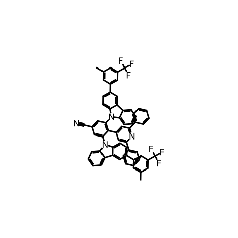 Cc1cc(-c2ccc3c(c2)c2ccccc2n3-c2cc(C#N)cc(-n3c4ccccc4c4cc(-c5cc(C)cc(C(F)(F)F)c5)ccc43)c2-c2cc(-c3ccccc3)nc(-c3ccccc3)c2)cc(C(F)(F)F)c1